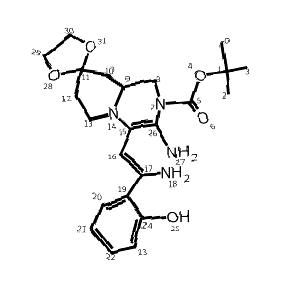 CC(C)(C)OC(=O)N1CC2CC3(CCN2C(/C=C(\N)c2ccccc2O)=C1N)OCCO3